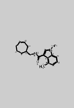 CCCn1cc(C(=O)NCC2CCCCCC2)c2c(C)cccc21